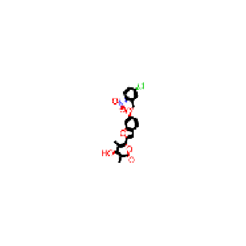 Cc1c(-c2cc3ccc(OCc4cc(Cl)ccc4[N+](=O)[O-])cc3o2)oc(=O)c(C)c1O